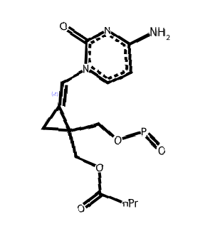 CCCC(=O)OCC1(COP=O)C/C1=C/n1ccc(N)nc1=O